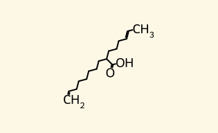 C=CCCCCCCC(CCCC=CC)C(=O)O